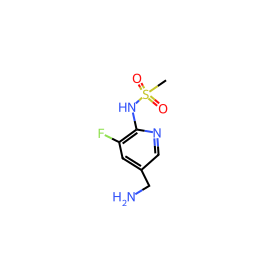 CS(=O)(=O)Nc1ncc(CN)cc1F